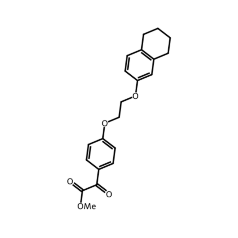 COC(=O)C(=O)c1ccc(OCCOc2ccc3c(c2)CCCC3)cc1